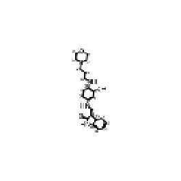 Cc1cc(N/C=C2\C(=O)Nc3ccccc32)ccc1NCCCN1CCOCC1